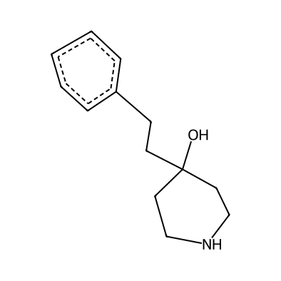 OC1(CCc2ccccc2)CCNCC1